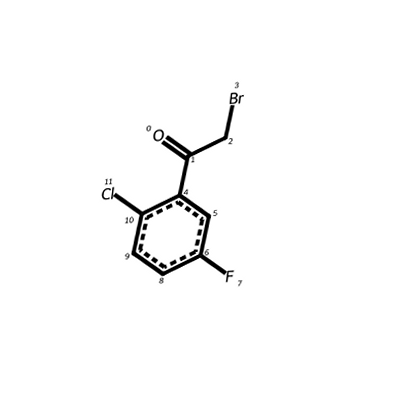 O=C(CBr)c1cc(F)ccc1Cl